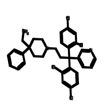 NCC1(c2ccccc2)CCN(CCC(c2cccnc2)(c2ccc(Cl)cc2Cl)c2ccc(Cl)cc2Cl)CC1